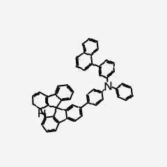 C1=CC2=C3[C@H](C1)c1cccc4c1C3(c1ccccc12)c1cc(-c2ccc(N(c3ccccc3)c3cccc(-c5cccc6ccccc56)c3)cc2)ccc1-4